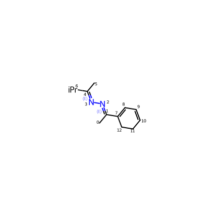 C/C(=N\N=C(/C)C(C)C)C1=CC=CCC1